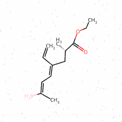 B/C(C)=C/C=C(\C=C)C[C@H](C)C(=O)OCC